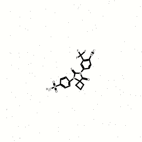 [C-]#[N+]c1ccc(N2C(=O)C3(CCC3)N(c3ccc(S(C)(=O)=O)cc3)C2=S)cc1C(F)(F)F